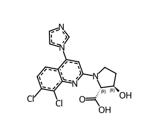 O=C(O)[C@H]1[C@H](O)CCN1c1cc(-n2ccnc2)c2ccc(Cl)c(Cl)c2n1